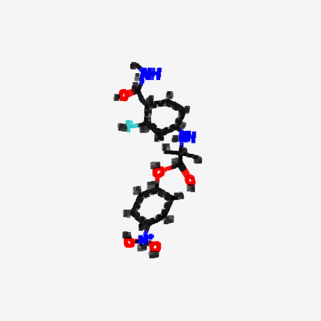 CNC(=O)c1ccc(NC(C)(C)C(=O)Oc2ccc([N+](=O)[O-])cc2)cc1F